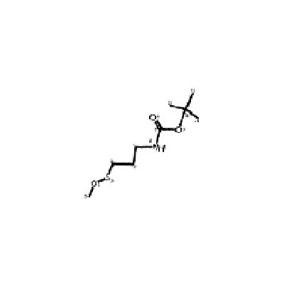 COSCCCNC(=O)OC(C)(C)C